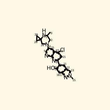 CC1CN(c2cnc3nc(-c4cc5cn(C)nc5cc4O)cc(Cl)c3c2)CC2(CC2)N1